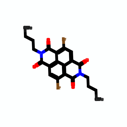 COCCCN1C(=O)c2cc(Br)c3c4c(cc(Br)c(c24)C1=O)C(=O)N(CCCOC)C3=O